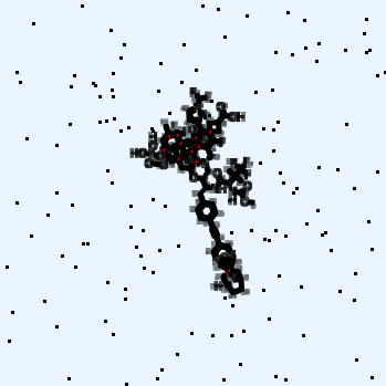 COC(=O)N[C@H](C(=O)N[C@@H](Cc1ccc(C#Cc2cnc(N3CC4CC[C@@H](C3)N4C3COC3)nc2)cc1)[C@H](CN(Cc1c(F)cc(-c2ccn(C(F)F)n2)cc1F)NC(=O)[C@@H](NC(=O)OC)C(C)(C)C(F)(F)F)OC(=O)CC(C)(C)c1c(CC(=O)NC2CC(C(=O)O)C2)cc(C)cc1OP(=O)(O)O)C(C)(C)C(F)(F)F